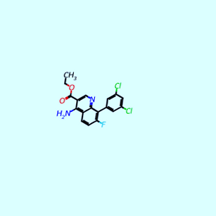 CCOC(=O)c1cnc2c(-c3cc(Cl)cc(Cl)c3)c(F)ccc2c1N